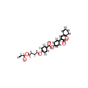 C=CC(=O)OCCCCOc1ccc(C(=O)Oc2ccc(-c3cc4c(oc3=O)CCC=C4)cc2)cc1